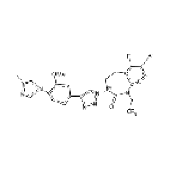 COc1cc(-c2cn([C@@H]3CCc4c(ccc(Br)c4F)N(CC(F)(F)F)C3=O)nn2)ccc1-n1cnc(C)c1